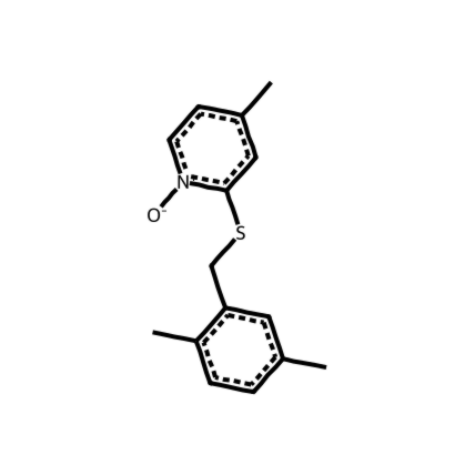 Cc1ccc(C)c(CSc2cc(C)cc[n+]2[O-])c1